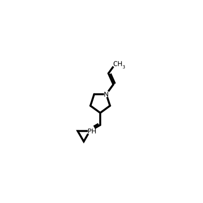 C/C=C/N1CCC(C=[PH]2CC2)C1